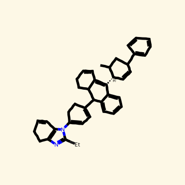 CCc1nc2c(n1C1=CC=C(C3c4ccccc4C([C@H]4C=CC(c5ccccc5)CC4C)=C4C=CCCC43)CC1)C=CCC2